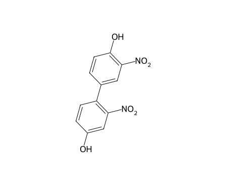 O=[N+]([O-])c1cc(-c2ccc(O)cc2[N+](=O)[O-])ccc1O